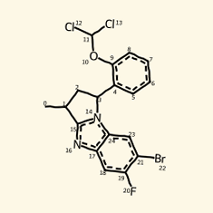 CC1CC(c2ccccc2OC(Cl)Cl)n2c1nc1cc(F)c(Br)cc12